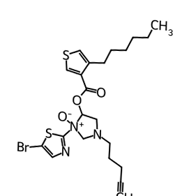 C#CCCCN1CC(OC(=O)c2cscc2CCCCCC)[N+]([O-])(c2ncc(Br)s2)C1